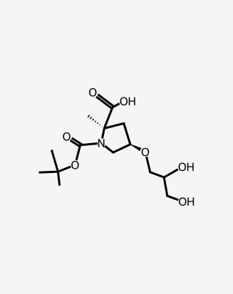 CC(C)(C)OC(=O)N1C[C@H](OCC(O)CO)C[C@]1(C)C(=O)O